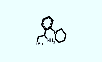 CC(C)(C)CC(N)c1ccccc1N1CCCCC1